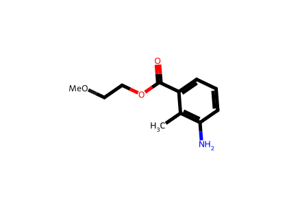 COCCOC(=O)c1cccc(N)c1C